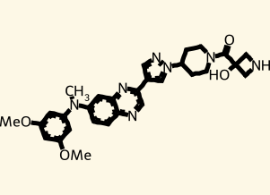 COc1cc(OC)cc(N(C)c2ccc3ncc(-c4cnn(C5CCN(C(=O)C6(O)CNC6)CC5)c4)nc3c2)c1